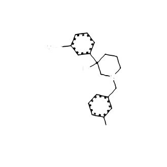 COc1cccc(C2(O)CCCN(Cc3cccc(C(F)(F)F)c3)C2)c1